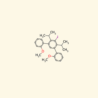 COc1ccccc1-c1cc(-c2ccccc2OC)c(C(C)C)c(I)c1C(C)C